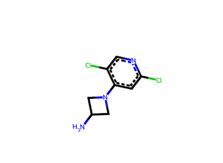 NC1CN(c2cc(Cl)ncc2Cl)C1